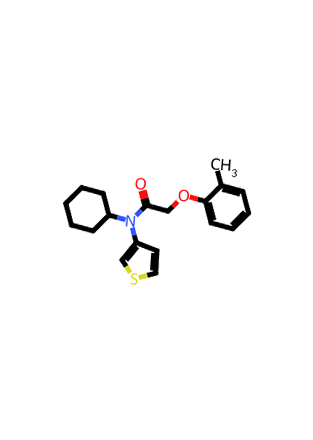 Cc1ccccc1OCC(=O)N(c1ccsc1)C1CCCCC1